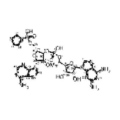 CO[C@@H]1[C@H](OP(=O)(O)OC[C@H]2O[C@@H](n3cnc4c(N)nc(N)nc43)[C@H](O)[C@@H]2O)[C@@H](COP(=O)(O)n2ccnc2)O[C@H]1n1cnc2c(N)ncnc21